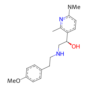 CNc1ccc([C@@H](O)CNCCc2ccc(OC)cc2)c(C)n1